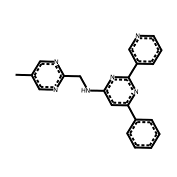 Cc1cnc(CNc2cc(-c3ccccc3)nc(-c3cccnc3)n2)nc1